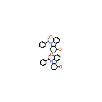 O=C1CCCc2c1c1cccc3c1n2C(c1ccccc1)CO3.O=C1CCCc2c1c1cccc3c1n2C(c1ccccc1)CO3